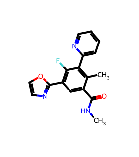 CNC(=O)c1cc(-c2ncco2)c(F)c(-c2ccccn2)c1C